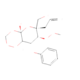 C=CC[C@]1(CO)O[C@@]2(O)OCOO[C@@H]2[C@@H](Oc2ccccc2)[C@@H]1OOC